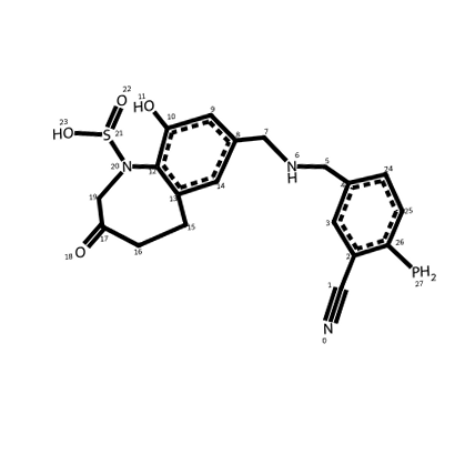 N#Cc1cc(CNCc2cc(O)c3c(c2)CCC(=O)CN3S(=O)O)ccc1P